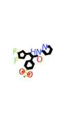 CS(=O)(=O)c1ccc(/C(=C\C2CC(F)C(F)C2)C(=O)Nc2ccccn2)cc1